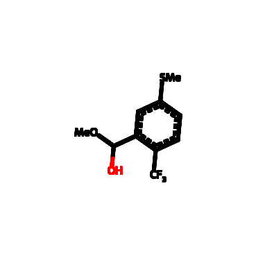 COC(O)c1cc(SC)ccc1C(F)(F)F